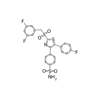 NS(=O)(=O)c1ccc(-c2nc(S(=O)(=O)Cc3cc(F)cc(F)c3)sc2-c2ccc(F)cc2)cc1